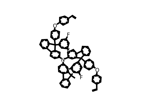 C=Cc1ccc(Oc2ccc(C3(c4cc(F)cc(F)c4)c4ccccc4-c4ccc(N(c5ccc6c(c5)C(C)(C)c5ccccc5-6)c5ccc6c(c5)C(c5ccc(Oc7ccc(C=C)cc7)cc5)(c5cc(F)cc(F)c5)c5ccccc5-6)cc43)cc2)cc1